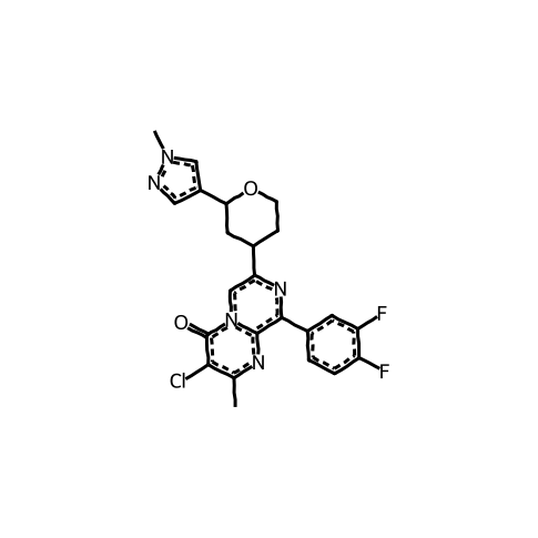 Cc1nc2c(-c3ccc(F)c(F)c3)nc(C3CCOC(c4cnn(C)c4)C3)cn2c(=O)c1Cl